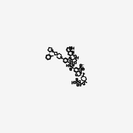 Cc1ccccc1[C@@H]1CCCN1C1CC2(CCN(c3ccc(C(=O)NS(=O)(=O)c4cc5c(c([N+](=O)[O-])c4)N[C@H](C4(F)CCC(C)(OC(C)OP(=O)(O)O)CC4)CO5)c(N4c5cc6cc[nH]c6nc5O[C@@H]5COC[C@H]54)c3)CC2)C1